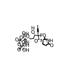 CC#CC1(F)[C@@H](O)[C@@H]([C@H](C)OP(=O)(O)OP(=O)(O)OP(=O)(O)O)O[C@H]1n1ccc(=O)[nH]c1=O